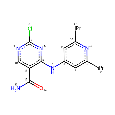 CC(C)c1cc(Nc2nc(Cl)ncc2C(N)=O)cc(C(C)C)n1